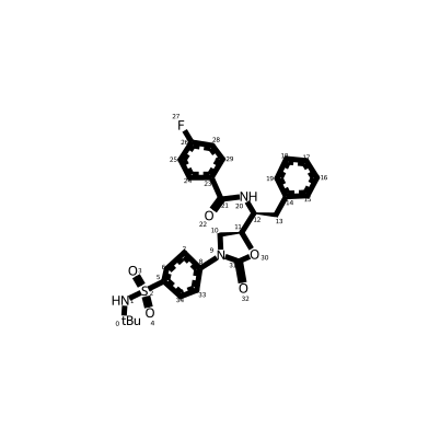 CC(C)(C)NS(=O)(=O)c1ccc(N2C[C@@H]([C@H](Cc3ccccc3)NC(=O)c3ccc(F)cc3)OC2=O)cc1